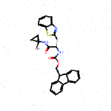 N#CC1(NC(=O)[C@H](Cc2nc3ccccc3s2)NC(=O)OCC2c3ccccc3-c3ccccc32)CC1